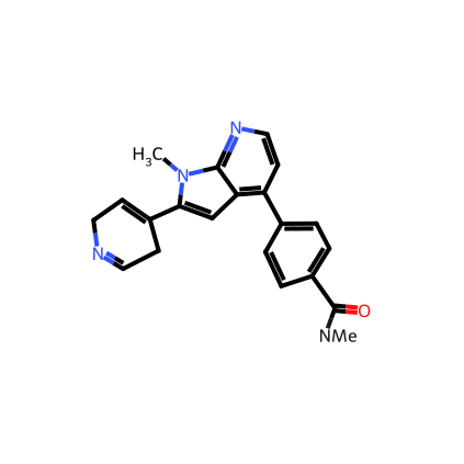 CNC(=O)c1ccc(-c2ccnc3c2cc(C2=CCN=CC2)n3C)cc1